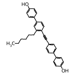 CCCCCCc1cc(-c2ccc(O)cc2)ccc1C#Cc1ccc(-c2ccc(O)cc2)cc1